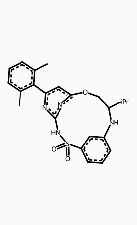 Cc1cccc(C)c1-c1cc2nc(n1)NS(=O)(=O)c1cccc(c1)NC(C(C)C)CO2